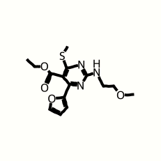 CCOC(=O)c1c(SC)nc(NCCOC)nc1-c1ccco1